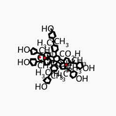 CC(C)(c1ccc(O)cc1)c1ccc(C2=C(c3ccc(C(C)(C)c4ccc(O)cc4)cc3)C(C(=O)O)(c3ccc(C(C)(C)c4ccc(O)cc4)cc3)C(c3ccc(C(C)(C)c4ccc(O)cc4)cc3)(c3ccc(C(C)(C)c4ccc(O)cc4)cc3)C(c3ccc(C(C)(C)c4ccc(O)cc4)cc3)=C2C(=O)O)cc1